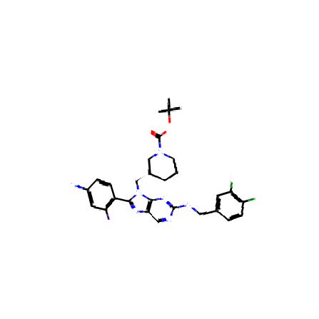 CC(C)(C)OC(=O)N1CCC[C@@H](Cn2c(-c3ccc(N)cc3I)nc3cnc(NCc4ccc(F)c(F)c4)nc32)C1